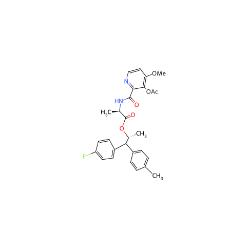 COc1ccnc(C(=O)N[C@H](C)C(=O)O[C@H](C)C(c2ccc(C)cc2)c2ccc(F)cc2)c1OC(C)=O